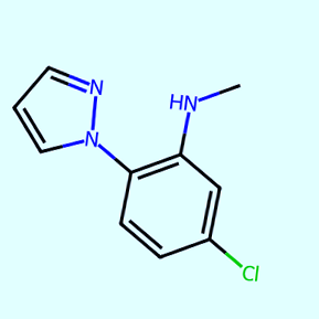 CNc1cc(Cl)ccc1-n1cccn1